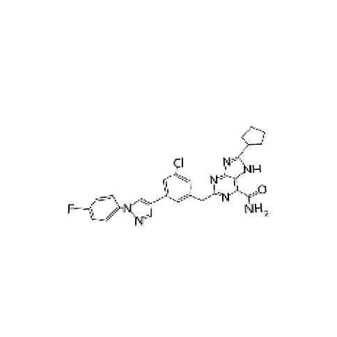 NC(=O)c1nc(Cc2cc(Cl)cc(-c3cnn(-c4ccc(F)cc4)c3)c2)nc2nc(C3CCCC3)[nH]c12